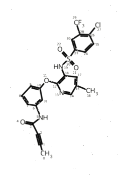 CC#CC(=O)Nc1cccc(Oc2ncc(C)cc2NS(=O)(=O)c2ccc(Cl)c(C(F)(F)F)c2)c1